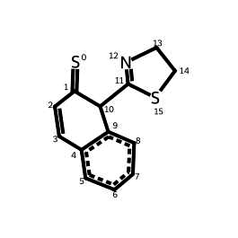 S=C1C=Cc2ccccc2C1C1=NCCS1